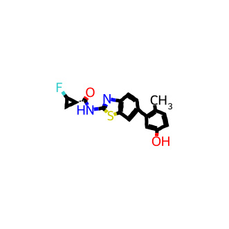 Cc1ccc(O)cc1-c1ccc2nc(NC(=O)[C@@H]3CC3F)sc2c1